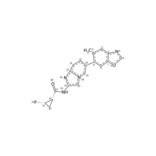 Cc1cc2ncoc2cc1-c1ccc2nc(NC(=O)[C@@H]3C[C@@H]3F)cn2c1